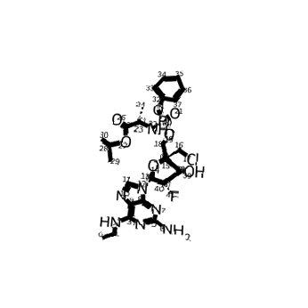 CCNc1nc(N)nc2c1ncn2[C@@H]1O[C@](CCl)(CO[P@](=O)(N[C@@H](C)C(=O)OC(C)C)Oc2ccccc2)[C@@H](O)[C@@H]1F